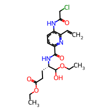 C=Cc1nc(C(=O)N[C@@H](CCC(=O)OCC)C(O)OCC)ccc1NC(=O)CCl